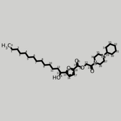 CCCCCCCCCCCCCC(O)c1ccc(C(=O)OCC(=O)N2CCN(C3CCCCC3)CC2)o1